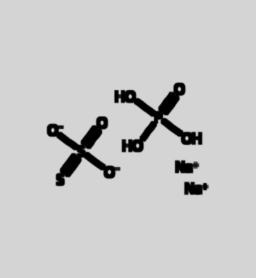 O=P(O)(O)O.O=S([O-])([O-])=S.[Na+].[Na+]